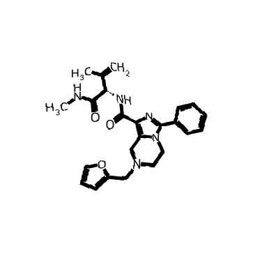 C=C(C)[C@H](NC(=O)c1nc(-c2ccccc2)n2c1CN(Cc1ccco1)CC2)C(=O)NC